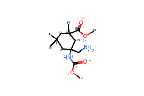 COC(=O)NC1(CN)CC(C)(C)CC(C)(C(=O)OC)C1